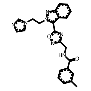 Cc1cccc(C(=O)NCc2noc(-c3c4ccccc4nn3CCn3ccnc3)n2)c1